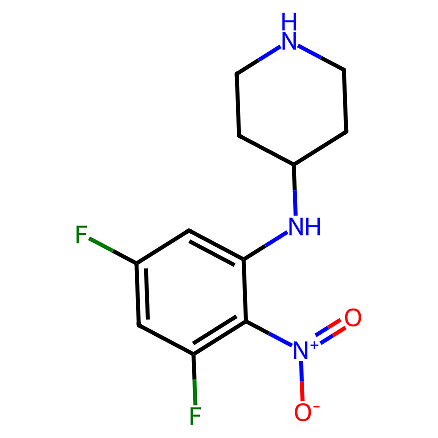 O=[N+]([O-])c1c(F)cc(F)cc1NC1CCNCC1